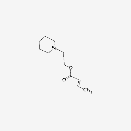 CC=CC(=O)OCCN1CCCCC1